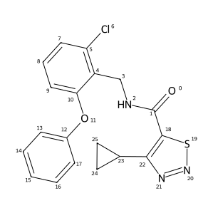 O=C(NCc1c(Cl)cccc1Oc1ccccc1)c1snnc1C1CC1